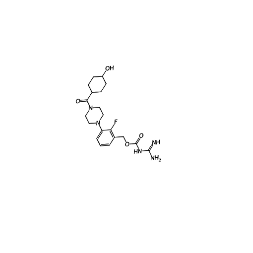 N=C(N)NC(=O)OCc1cccc(N2CCN(C(=O)C3CCC(O)CC3)CC2)c1F